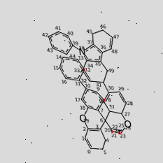 C1=CC2=C(CC1)C1(c3ccc(-c4ccccc4)cc3O2)C2CCCC=C2OC2C=CC(C3C=Cc4c(c5c(n4-c4ccccc4)CCC=C5)C3)=CC21